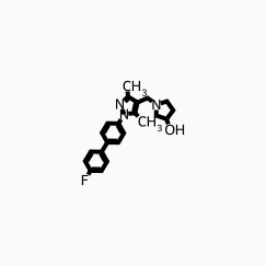 Cc1nn(-c2ccc(-c3ccc(F)cc3)cc2)c(C)c1CN1CCC(O)C1